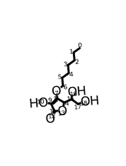 CCCCCCCOC1=C(O)C(=O)OC1C(O)CO